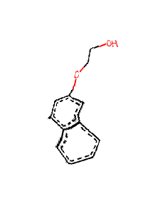 OCCOc1ccc2c[c]ccc2c1